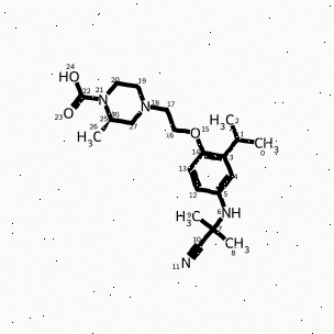 CC(C)c1cc(NC(C)(C)C#N)ccc1OCCN1CCN(C(=O)O)[C@H](C)C1